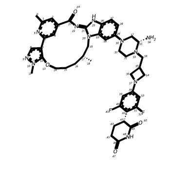 Cc1cc2cc(n1)-c1cnn(C)c1OCCC[C@@H](C)CN1/C(=N/C2=O)Nc2ccc(N3CCN(CC4CN(c5cc(F)c([C@H]6CCC(=O)NC6=O)c(F)c5)C4)[C@@H](N)C3)cc21